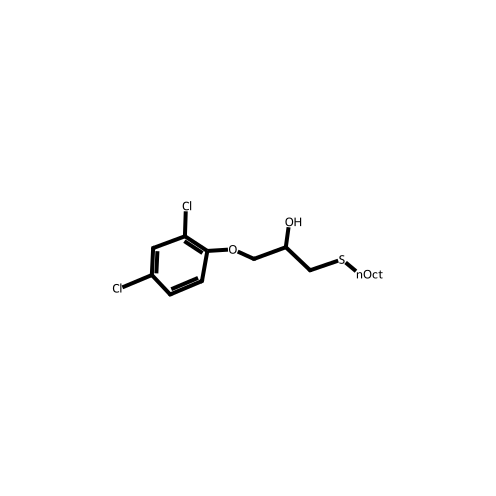 CCCCCCCCSCC(O)COc1ccc(Cl)cc1Cl